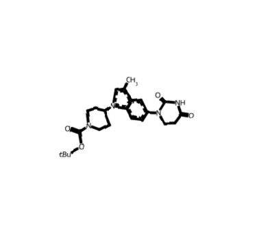 Cc1cn(C2CCN(C(=O)OC(C)(C)C)CC2)c2ccc(N3CCC(=O)NC3=O)cc12